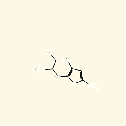 CC(C)CC(Nc1sc([N+](=O)[O-])cc1[N+](=O)[O-])C(=O)O